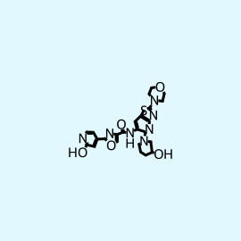 O=C(Nc1cc2sc(N3CCOCC3)nc2nc1N1CCCC(O)C1)c1coc(-c2ccnc(O)c2)n1